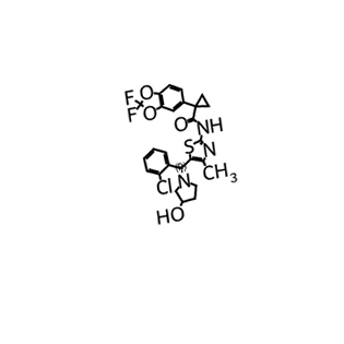 Cc1nc(NC(=O)C2(c3ccc4c(c3)OC(F)(F)O4)CC2)sc1[C@@H](c1ccccc1Cl)N1CCC(O)C1